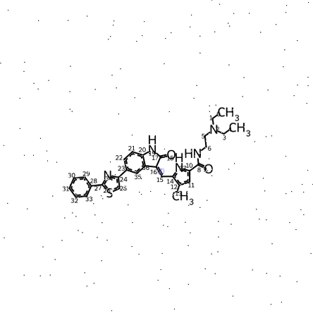 CCN(CC)CCNC(=O)c1cc(C)c(/C=C2\C(=O)Nc3ccc(-c4csc(-c5ccccc5)n4)cc32)[nH]1